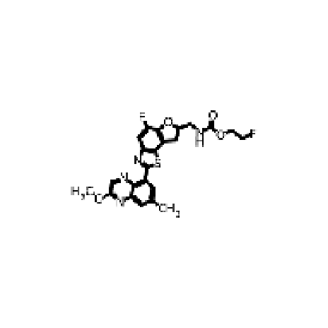 COc1cnc2c(-c3nc4cc(F)c5c(c4s3)CC(CNC(=O)OCCF)O5)cc(C)cc2n1